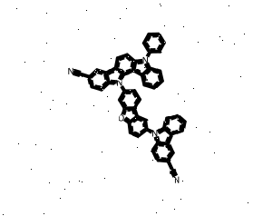 N#Cc1ccc2c(c1)c1ccccc1n2-c1ccc2oc3cc(-n4c5ccc(C#N)cc5c5ccc6c(c7ccccc7n6-c6ccccc6)c54)ccc3c2c1